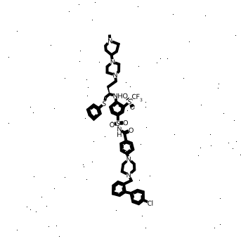 CN1CCC(N2CCN(CC[C@H](CSc3ccccc3)Nc3ccc(S(=O)(=O)NC(=O)c4ccc(N5CCN(Cc6ccccc6-c6ccc(Cl)cc6)CC5)cc4)cc3S(=O)(=O)C(F)(F)F)CC2)CC1